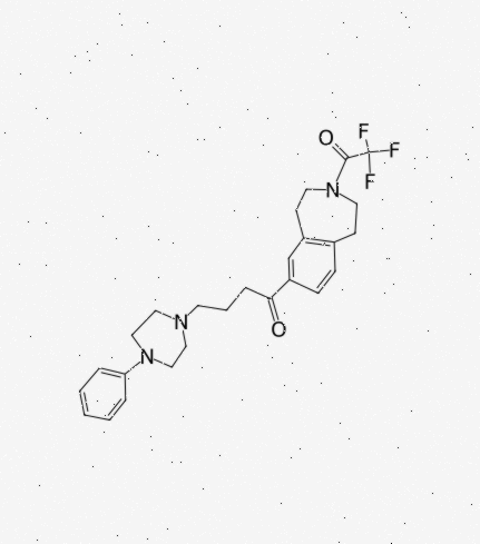 O=C(CCCN1CCN(c2ccccc2)CC1)c1ccc2c(c1)CCN(C(=O)C(F)(F)F)CC2